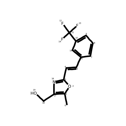 Cc1oc(C=Cc2cccc(C(F)(F)F)c2)nc1CO